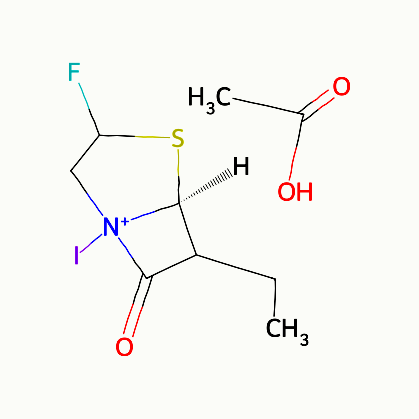 CC(=O)O.CCC1C(=O)[N+]2(I)CC(F)S[C@@H]12